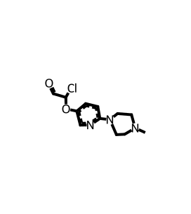 CN1CCN(c2ccc(OC(Cl)C=O)cn2)CC1